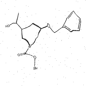 CC(O)C1CC(OCc2ccccc2)CN(C(=O)OC(C)(C)C)C1